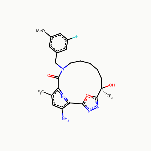 COc1cc(F)cc(CN2CCCCC[C@](O)(C(F)(F)F)c3nnc(o3)-c3nc(c(C(F)(F)F)cc3N)C2=O)c1